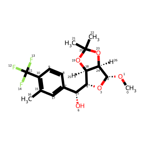 CO[C@@H]1O[C@H]([C@H](O)c2ccc(C(F)(F)F)c(C)c2)[C@H]2OC(C)(C)O[C@@H]12